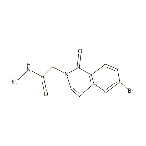 CCNC(=O)Cn1ccc2cc(Br)ccc2c1=O